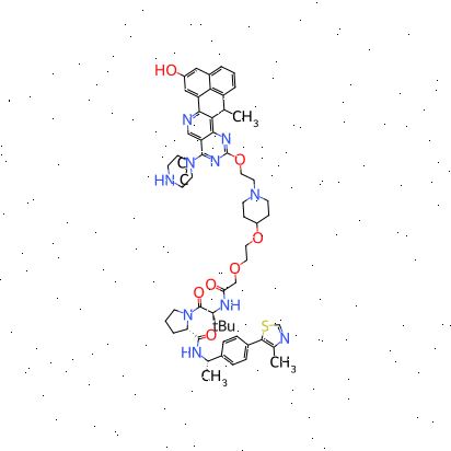 Cc1ncsc1-c1ccc([C@H](C)NC(=O)[C@@H]2CCCN2C(=O)[C@@H](NC(=O)COCCOC2CCN(CCOc3nc(N4CC5CCCC4CN5)c4cnc5c(c4n3)C(C)c3cccc4cc(O)cc-5c34)CC2)C(C)(C)C)cc1